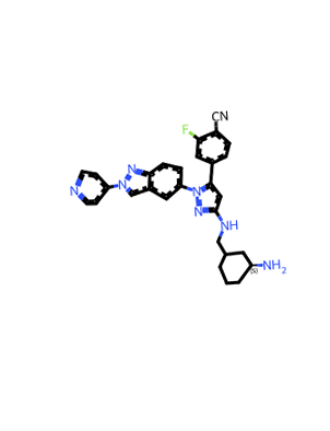 N#Cc1ccc(-c2cc(NCC3CCC[C@H](N)C3)nn2-c2ccc3nn(-c4ccncc4)cc3c2)cc1F